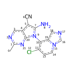 Cc1ncc2c(C#N)c(N)n(-c3c(Cl)ccn4cncc34)c2n1